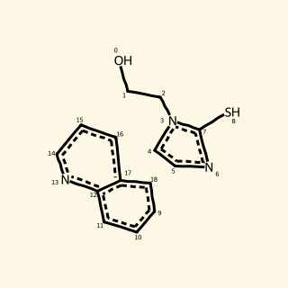 OCCn1ccnc1S.c1ccc2ncccc2c1